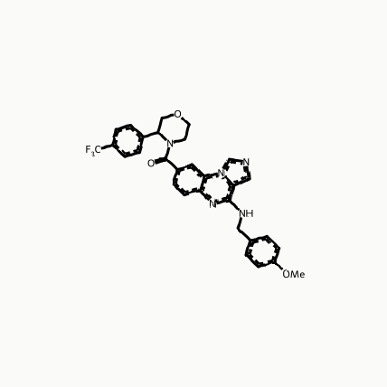 COc1ccc(CNc2nc3ccc(C(=O)N4CCOCC4c4ccc(C(F)(F)F)cc4)cc3n3cncc23)cc1